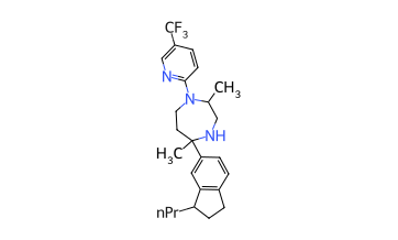 CCCC1CCc2ccc(C3(C)CCN(c4ccc(C(F)(F)F)cn4)C(C)CN3)cc21